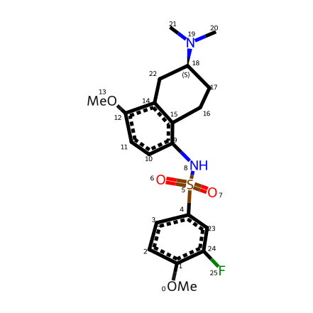 COc1ccc(S(=O)(=O)Nc2ccc(OC)c3c2CC[C@H](N(C)C)C3)cc1F